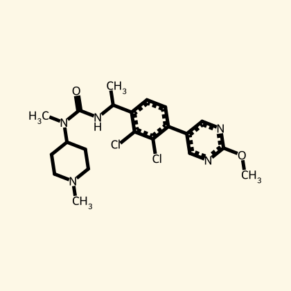 COc1ncc(-c2ccc(C(C)NC(=O)N(C)C3CCN(C)CC3)c(Cl)c2Cl)cn1